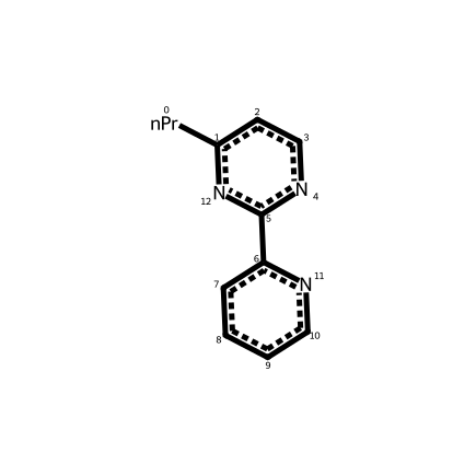 CCCc1ccnc(-c2ccccn2)n1